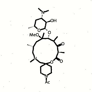 CO[C@]1(C)C[C@@H](C)CN(C)CC2(CCN(C(C)=O)CC2)OC(=O)[C@H](C)C(=O)C(C)[C@H]1O[C@@H]1O[C@H](C)C[C@H](N(C)C)[C@H]1O